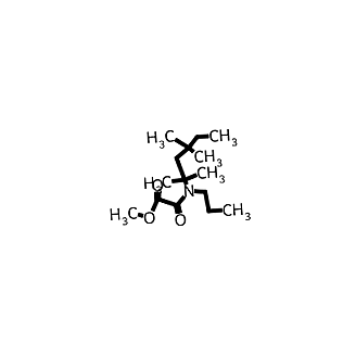 CCCN(C(=O)C(=O)OC)C(C)(C)CC(C)(C)CC